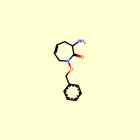 NC1CC=CCN(OCc2ccccc2)C1=O